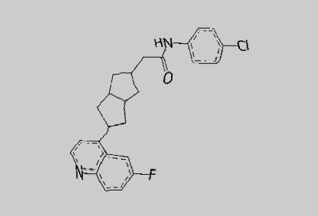 O=C(CC1CC2CC(c3ccnc4ccc(F)cc34)CC2C1)Nc1ccc(Cl)cc1